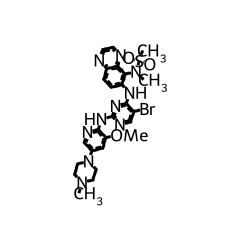 COc1cc(N2CCN(C)CC2)cnc1Nc1ncc(Br)c(Nc2ccc3nccnc3c2N(C)S(C)(=O)=O)n1